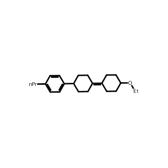 CCCc1ccc(C2CCC(=C3CCC(OCC)CC3)CC2)cc1